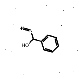 [N]=NC(O)c1ccccc1